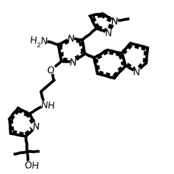 Cn1ccc(-c2nc(N)c(OCCNc3cccc(C(C)(C)O)n3)nc2-c2ccc3ncccc3c2)n1